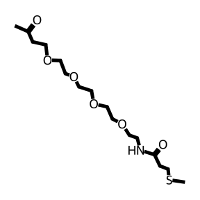 CSCCC(=O)NCCOCCOCCOCCOCCC(C)=O